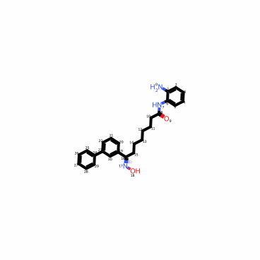 Nc1ccccc1NC(=O)CCCCCC/C(=N\O)c1cccc(-c2ccccc2)c1